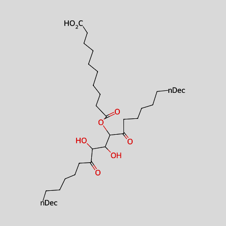 CCCCCCCCCCCCCCCC(=O)C(O)C(O)C(OC(=O)CCCCCCCCC(=O)O)C(=O)CCCCCCCCCCCCCCC